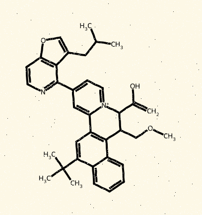 C=C(O)C1C(COC)c2c(cc(C(C)(C)C)c3ccccc23)-c2cc(-c3nccc4occ(CC(C)C)c34)cc[n+]21